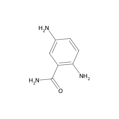 NC(=O)c1cc(N)ccc1N